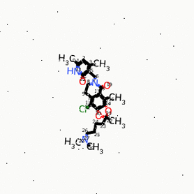 Cc1cc(C)c(CN2CCc3c(Cl)c4c(c(C)c3C2=O)OC(C)(CCCCN(C)C)O4)c(=O)[nH]1